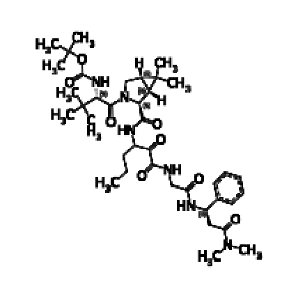 CCCC(NC(=O)[C@@H]1[C@@H]2[C@H](CN1C(=O)[C@@H](NC(=O)OC(C)(C)C)C(C)(C)C)C2(C)C)C(=O)C(=O)NCC(=O)N[C@H](CC(=O)N(C)C)c1ccccc1